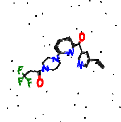 C=Cc1cncc(C(=O)c2cccc(N3CCCN(C(=O)CC(F)(F)F)CC3)n2)c1